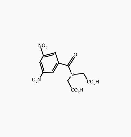 O=C(O)CN(CC(=O)O)C(=O)c1cc([N+](=O)[O-])cc([N+](=O)[O-])c1